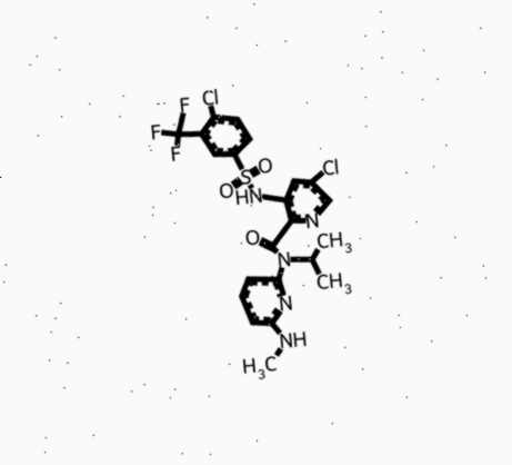 CNc1cccc(N(C(=O)c2ncc(Cl)cc2NS(=O)(=O)c2ccc(Cl)c(C(F)(F)F)c2)C(C)C)n1